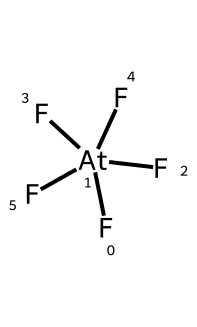 F[At](F)(F)(F)F